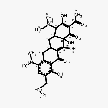 CC(C)NCc1cc(N(C)C)c2c(c1O)C(=O)C1=C(O)C3(O)C(=O)C(C(N)=O)=C(O)C(N(C)C)C3CC1C2